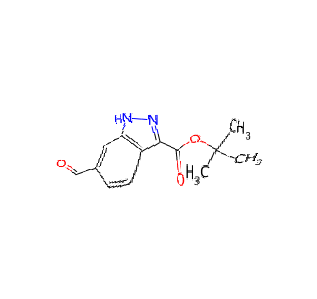 CC(C)(C)OC(=O)c1n[nH]c2cc(C=O)ccc12